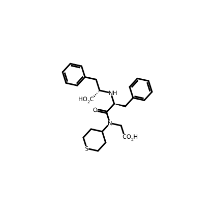 O=C(O)CN(C(=O)[C@H](Cc1ccccc1)N[C@@H](Cc1ccccc1)C(=O)O)C1CCSCC1